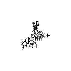 Cc1ccc(C)c(-n2nc(C(=O)NC(CC(=O)O)c3ccc(OC(F)(F)F)cc3)cc2O)c1